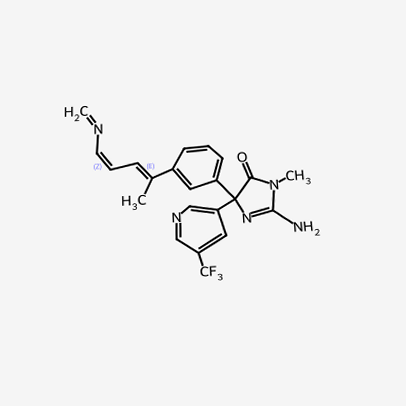 C=N/C=C\C=C(/C)c1cccc(C2(c3cncc(C(F)(F)F)c3)N=C(N)N(C)C2=O)c1